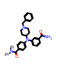 CC(C)N(C(=O)c1ccc(N(c2cccc(C(N)=O)c2)C2CCN(Cc3ccccc3)CC2)cc1)C(C)C